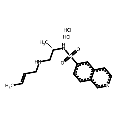 C/C=C/CNC[C@H](C)NS(=O)(=O)c1ccc2cnccc2c1.Cl.Cl